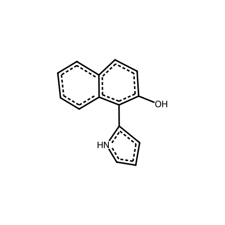 Oc1ccc2ccccc2c1-c1ccc[nH]1